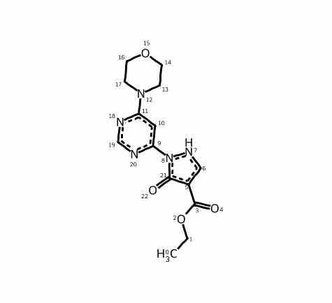 CCOC(=O)c1c[nH]n(-c2cc(N3CCOCC3)ncn2)c1=O